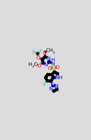 COc1nc(NS(=O)(=O)c2c[nH]c3c(-n4nccn4)c(F)ccc23)nc(OC)c1OC(F)F